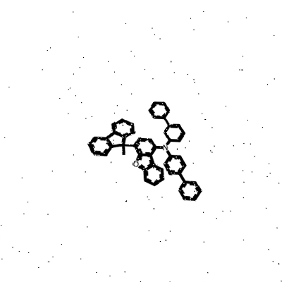 CC1(c2ccc(N(c3ccc(-c4ccccc4)cc3)C3C=CC=C(c4ccccc4)C3)c3c2oc2ccccc23)c2ccccc2-c2ccccc21